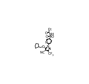 CCC(=O)NS(=O)(=O)c1ccc(-n2nc(C(F)(F)F)c(C#N)c2OCC2CCCC2)nc1